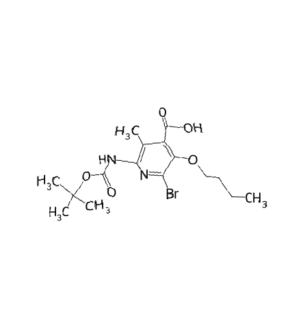 CCCCOc1c(Br)nc(NC(=O)OC(C)(C)C)c(C)c1C(=O)O